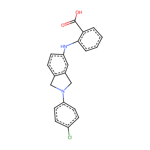 O=C(O)c1ccccc1Nc1ccc2c(c1)CN(c1ccc(Cl)cc1)C2